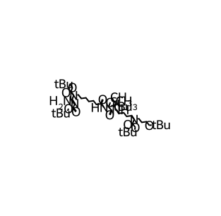 CC(C)(C)OCCCN(CCCCNC(=O)C(NC(=O)CCCCCCN(C(=O)OC(C)(C)C)C(N)=NC(=O)OC(C)(C)C)O[Si](C)(C)C(C)(C)C)C(=O)OC(C)(C)C